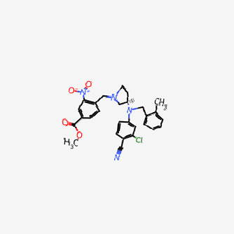 COC(=O)c1ccc(CN2CC[C@H](N(Cc3ccccc3C)c3ccc(C#N)c(Cl)c3)C2)c([N+](=O)[O-])c1